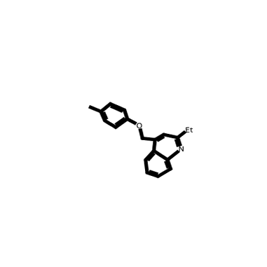 CCc1cc(COc2ccc(C)cc2)c2ccccc2n1